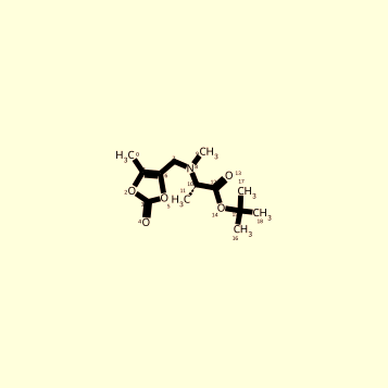 Cc1oc(=O)oc1CN(C)[C@@H](C)C(=O)OC(C)(C)C